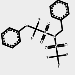 O=S(=O)(N(Cc1ccccc1)S(=O)(=O)C(F)(F)Sc1ccccc1)C(F)(F)F